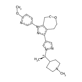 COc1ccc(-n2nc(-c3cnn([C@H](C)C4CCN(C)CC4)c3)c3c2CCOCC3)cn1